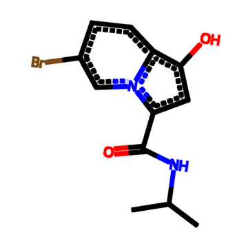 CC(C)NC(=O)c1cc(O)c2ccc(Br)cn12